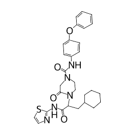 O=C(Nc1nccs1)C(CC1CCCCC1)N1CCN(C(=O)Nc2ccc(Oc3ccccc3)cc2)CC1=O